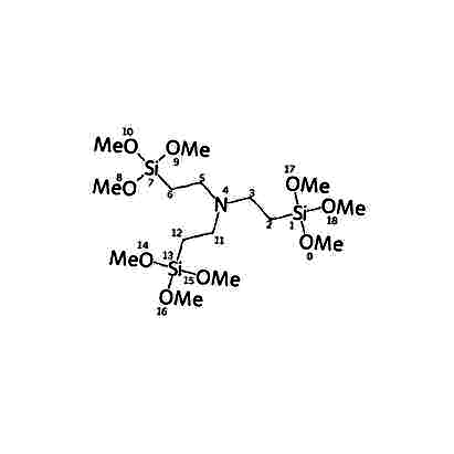 CO[Si](CCN(CC[Si](OC)(OC)OC)CC[Si](OC)(OC)OC)(OC)OC